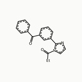 CCC(=O)n1ccnc1-c1cccc(C(=O)c2ccccc2)c1